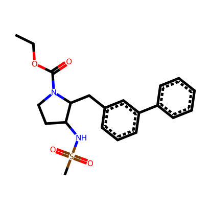 CCOC(=O)N1CCC(NS(C)(=O)=O)C1Cc1cccc(-c2ccccc2)c1